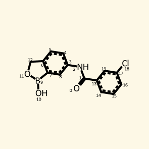 O=C(Nc1ccc2c(c1)B(O)OC2)c1cccc(Cl)c1